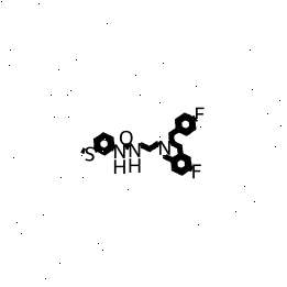 CSc1cccc(NC(=O)NCCCN2Cc3ccc(F)cc3CC2Cc2ccc(F)cc2)c1